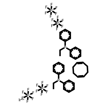 C1=C\CC/C=C\CC/1.CCP(c1ccccc1)c1ccccc1.CCP(c1ccccc1)c1ccccc1.F[P-](F)(F)(F)(F)F.F[P-](F)(F)(F)(F)F.F[P-](F)(F)(F)(F)F.F[P-](F)(F)(F)(F)F.[Ir+4]